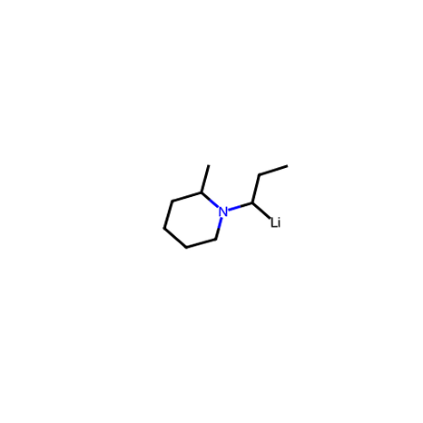 [Li][CH](CC)N1CCCCC1C